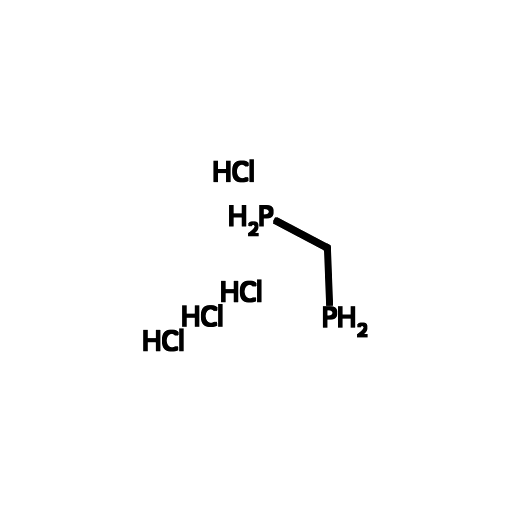 Cl.Cl.Cl.Cl.PCP